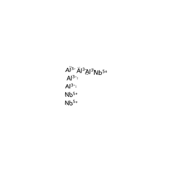 [Al-3].[Al-3].[Al-3].[Al-3].[Al-3].[Nb+5].[Nb+5].[Nb+5]